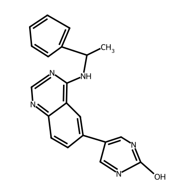 CC(Nc1ncnc2ccc(-c3cnc(O)nc3)cc12)c1ccccc1